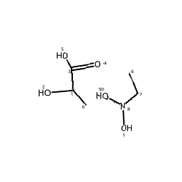 CC(O)C(=O)O.CCN(O)O